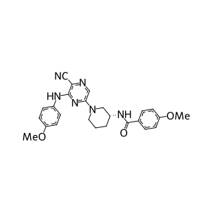 COc1ccc(Nc2nc(N3CCC[C@@H](NC(=O)c4ccc(OC)cc4)C3)cnc2C#N)cc1